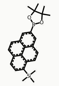 CC1(C)OB(c2cc3ccc4ccc([Si](C)(C)C)c5ccc(c2)c3c45)OC1(C)C